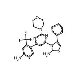 Nc1cc(C(F)(F)F)c(-c2cc(N3C(c4ccccc4)=CSC3N)nc(N3CCOCC3)n2)cn1